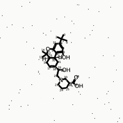 CC(C)(C)c1cc(O)c2c(c1)OC(C)(C)[C@@H]1CC=C(C(O)CN3CCC[C@H](C(=O)O)C3)C[C@@H]21